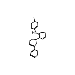 CC1C=CC(NC2=C(C3CCC=C(C4=CC=CCC4)C3)C=CCC2)=CC1